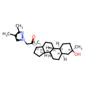 Cc1cn(CC(=O)[C@H]2CC[C@H]3[C@@H]4CC[C@@H]5C[C@](C)(O)CC[C@@H]5[C@H]4CC[C@]23C)nc1C